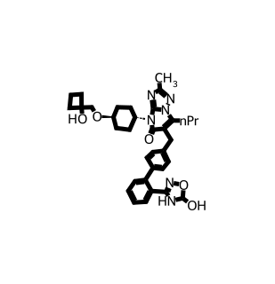 CCCc1c(Cc2ccc(-c3ccccc3C3=NOC(O)N3)cc2)c(=O)n([C@H]2CC[C@H](OCC3(O)CCC3)CC2)c2nc(C)nn12